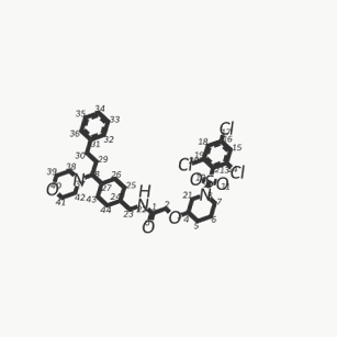 O=C(COC1CCCN(S(=O)(=O)c2c(Cl)cc(Cl)cc2Cl)C1)NCC1CCC(C(CCc2ccccc2)N2CCOCC2)CC1